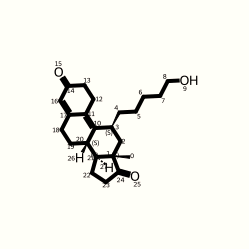 C[C@]12C[C@H](CCCCCO)C3=C4CCC(=O)C=C4CC[C@H]3[C@@H]1CCC2=O